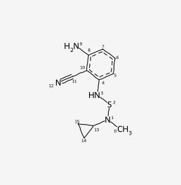 CN(SNc1cccc(N)c1C#N)C1CC1